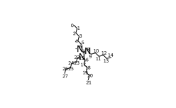 CCCCCC[N]C(=NCCCCCC)N(CCCCCC)CCCCCC